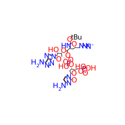 CC(C)(C)OC(=O)NC(CCCN=[N+]=[N-])C(=O)O[C@H]1[C@@H](O)[C@H](n2cnc3c(N)ncnc32)O[C@H]1COP(=O)(O)O[C@H]1C[C@H](n2ccc(N)nc2=O)O[C@@H]1COP(=O)(O)O